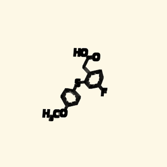 COc1ccc(Sc2cc(F)ccc2CC(=O)O)cc1